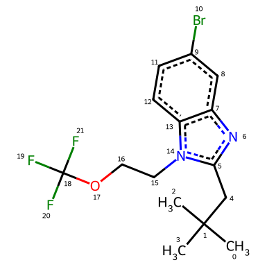 CC(C)(C)Cc1nc2cc(Br)ccc2n1CCOC(F)(F)F